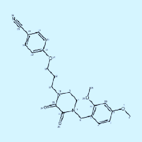 COc1ccc(CN2CCN(CCCOc3ccc(C#N)cc3)C(=O)C2=O)c(OC)c1